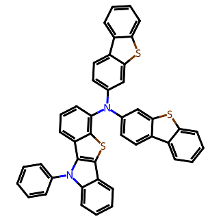 c1ccc(-n2c3ccccc3c3sc4c(N(c5ccc6c(c5)sc5ccccc56)c5ccc6c(c5)sc5ccccc56)cccc4c32)cc1